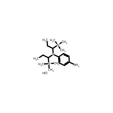 CCC(N(c1ccc(N)cc1)C(CC)[N+](C)(C)C)[N+](C)(C)C.Cl